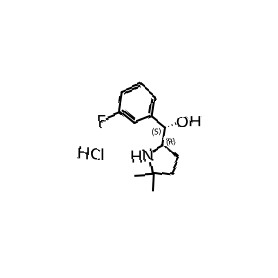 CC1(C)CC[C@H]([C@@H](O)c2cccc(F)c2)N1.Cl